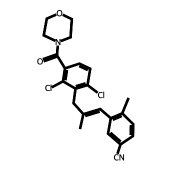 C/C(=C\c1cc(C#N)ccc1C)Cc1c(Cl)ccc(C(=O)N2CCOCC2)c1Cl